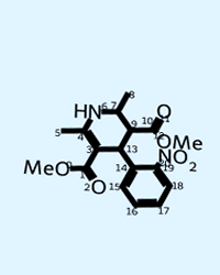 COC(=O)C1=C(C)NC(C)C(C(=O)OC)C1c1ccccc1[N+](=O)[O-]